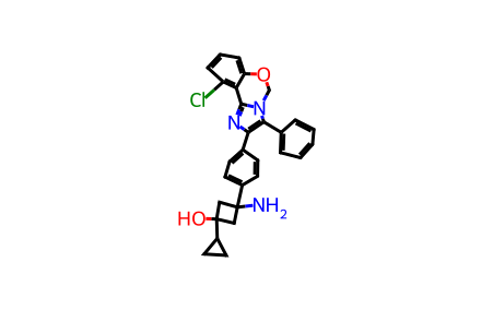 NC1(c2ccc(-c3nc4n(c3-c3ccccc3)COc3cccc(Cl)c3-4)cc2)CC(O)(C2CC2)C1